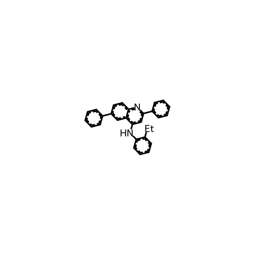 CCc1ccccc1Nc1cc(-c2ccccc2)nc2ccc(-c3ccccc3)cc12